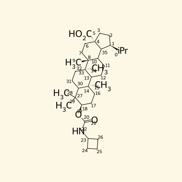 CC(C)[C@@H]1CC[C@]2(C(=O)O)CC[C@]3(C)C(CCC4[C@@]5(C)CC[C@@H](OC(=O)NC6CCC6)C(C)(C)C5CC[C@]43C)C12